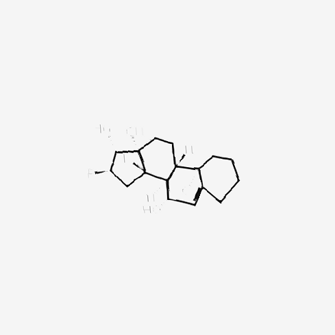 C[C@]12CC[C@H]3[C@@H]([C@@H](O)C=C4CCCC[C@@]43C)[C@@H]1C[C@@H](F)[C@@H]2O